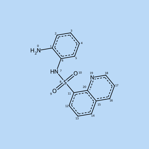 Nc1ccccc1NS(=O)(=O)c1cccc2cccnc12